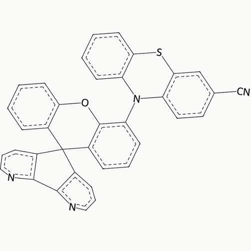 N#Cc1ccc2c(c1)Sc1ccccc1N2c1cccc2c1Oc1ccccc1C21c2cccnc2-c2ncccc21